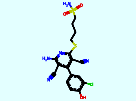 N#Cc1c(N)nc(SCCCCS(N)(=O)=O)c(C#N)c1-c1ccc(O)c(Cl)c1